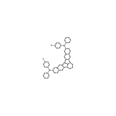 Fc1ccc(N(c2ccccc2)c2ccc3cc4c5cccc6c7cc8ccc(N(c9ccccc9)c9ccc(F)cc9)cc8cc7n(c4cc3c2)c56)cc1